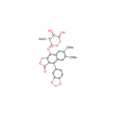 COc1cc2c(O[C@@H]3OC[C@H](O)[C@H](O)[C@H]3OC)c3c(c(-c4ccc5c(c4)OCO5)c2cc1OC)C(=O)OC3